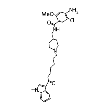 COc1cc(N)c(Cl)cc1C(=O)NCC1CCN(CCCCCCC(=O)c2cn(C)c3ccccc23)CC1